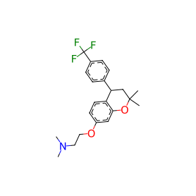 CN(C)CCOc1ccc2c(c1)OC(C)(C)CC2c1ccc(C(F)(F)F)cc1